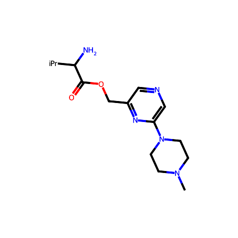 CC(C)C(N)C(=O)OCc1cncc(N2CCN(C)CC2)n1